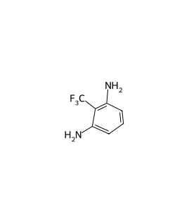 Nc1cccc(N)c1C(F)(F)F